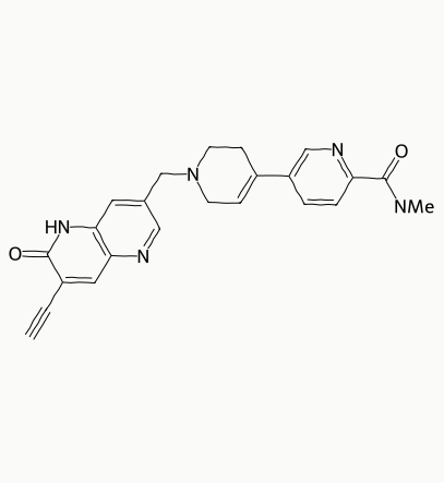 C#Cc1cc2ncc(CN3CC=C(c4ccc(C(=O)NC)nc4)CC3)cc2[nH]c1=O